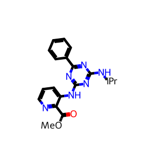 COC(=O)c1ncccc1Nc1nc(NC(C)C)nc(-c2ccccc2)n1